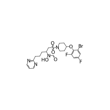 O=CN(O)C(CCCc1ncccn1)CS(=O)(=O)N1CCC(Oc2c(F)cc(F)cc2Br)CC1